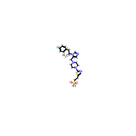 CCS(=O)(=O)CCc1cnc(N2CCN(Cc3cncn3C(C)Cc3ccc(F)cc3)CC2)s1